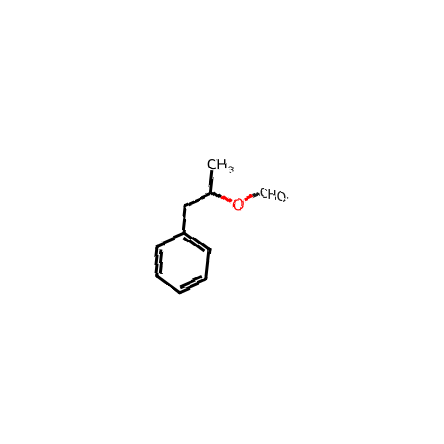 CC(Cc1ccccc1)O[C]=O